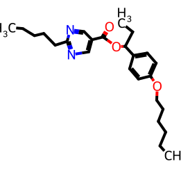 CCCCCCOc1ccc(C(CC)OC(=O)c2cnc(CCCCC)nc2)cc1